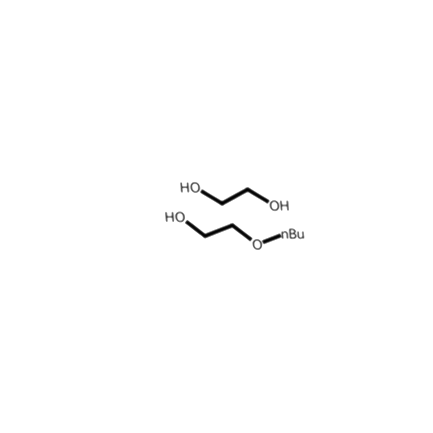 CCCCOCCO.OCCO